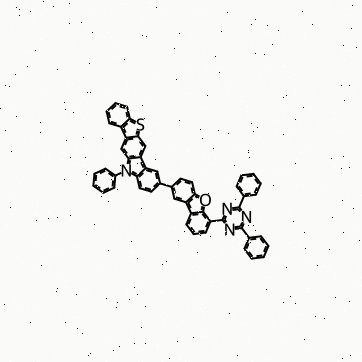 c1ccc(-c2nc(-c3ccccc3)nc(-c3cccc4c3oc3ccc(-c5ccc6c(c5)c5cc7sc8ccccc8c7cc5n6-c5ccccc5)cc34)n2)cc1